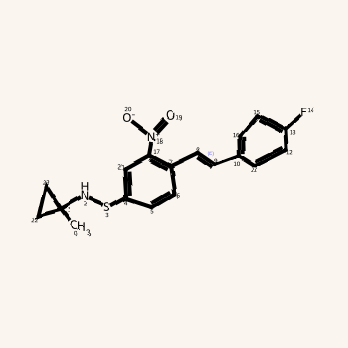 CC1(NSc2ccc(/C=C/c3ccc(F)cc3)c([N+](=O)[O-])c2)CC1